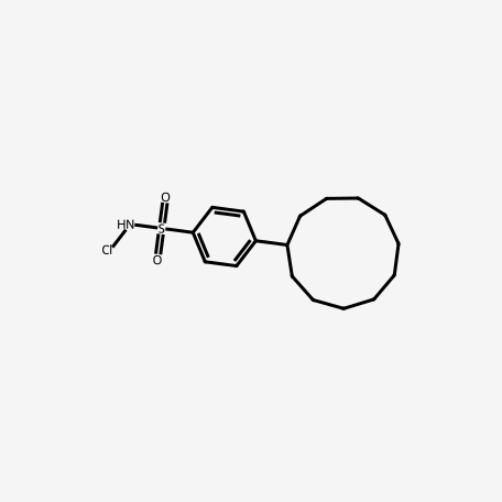 O=S(=O)(NCl)c1ccc(C2CCCCCCCCCC2)cc1